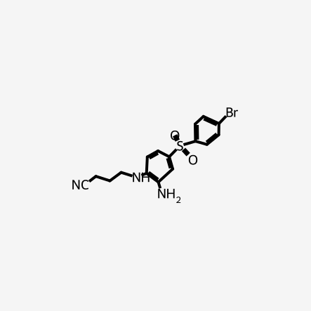 N#CCCCNc1ccc(S(=O)(=O)c2ccc(Br)cc2)cc1N